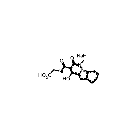 Cn1c(=O)c(C(=O)NCC(=O)O)c(O)c2cc3ccccc3n21.[NaH]